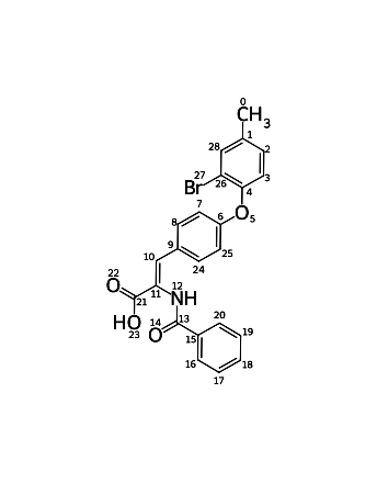 Cc1ccc(Oc2ccc(/C=C(\NC(=O)c3ccccc3)C(=O)O)cc2)c(Br)c1